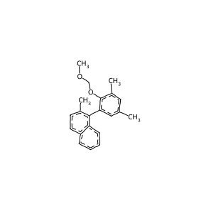 COCOc1c(C)cc(C)cc1-c1c(C)ccc2ccccc12